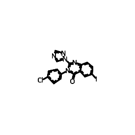 O=c1c2cc(I)ccc2nc(-n2cncn2)n1-c1ccc(Cl)cc1